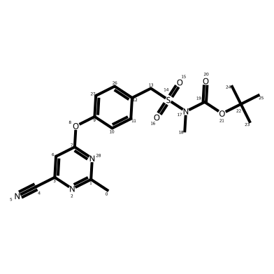 Cc1nc(C#N)cc(Oc2ccc(CS(=O)(=O)N(C)C(=O)OC(C)(C)C)cc2)n1